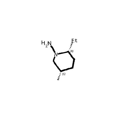 CC[C@@H]1CC[C@H](C)CN1N